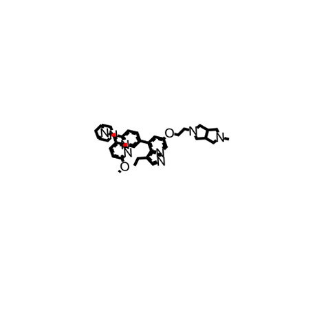 CCc1cnn2cc(OCCN3CC4CN(C)CC4C3)cc(-c3ccc(N4CC5CC(C4)N5Cc4ccc(OC)nc4)nc3)c12